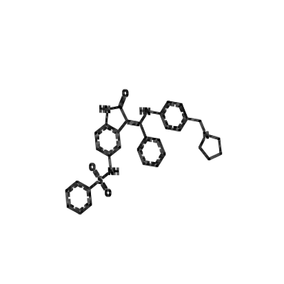 O=C1Nc2ccc(NS(=O)(=O)c3ccccc3)cc2/C1=C(/Nc1ccc(CN2CCCC2)cc1)c1ccccc1